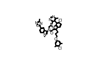 Cc1noc(-c2ccc3c(c2)c(N2C[C@@H](C)n4c(c(CCCOc5cc(C)c(Cl)c(C)c5)c5ccc(Cl)c(-c6c(C)ncnc6C)c54)C2=O)cn3C)n1